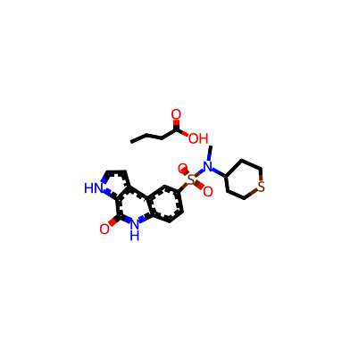 CCCC(=O)O.CN(C1CCSCC1)S(=O)(=O)c1ccc2[nH]c(=O)c3[nH]ccc3c2c1